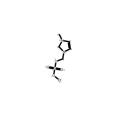 CCOS(=O)(=O)OCN1C=CN(C)C1